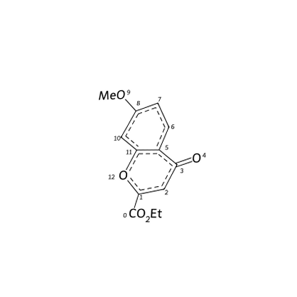 CCOC(=O)c1cc(=O)c2ccc(OC)cc2o1